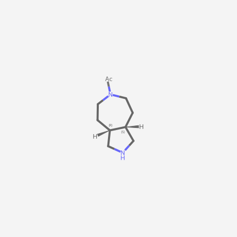 CC(=O)N1CC[C@@H]2CNC[C@@H]2CC1